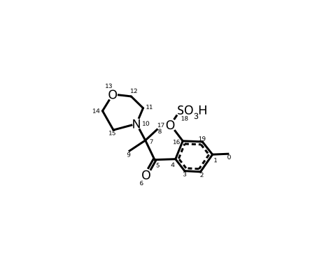 Cc1ccc(C(=O)C(C)(C)N2CCOCC2)c(OS(=O)(=O)O)c1